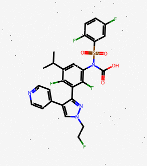 CC(C)c1cc(N(C(=O)O)S(=O)(=O)c2cc(F)ccc2F)c(F)c(-c2nn(CCF)cc2-c2ccncc2)c1F